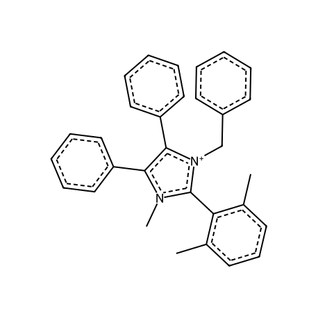 Cc1cccc(C)c1-c1n(C)c(-c2ccccc2)c(-c2ccccc2)[n+]1Cc1ccccc1